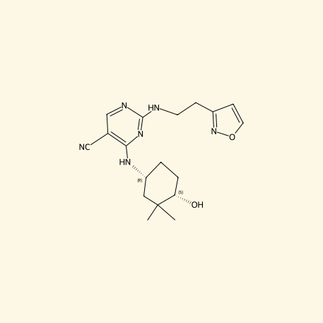 CC1(C)C[C@H](Nc2nc(NCCc3ccon3)ncc2C#N)CC[C@@H]1O